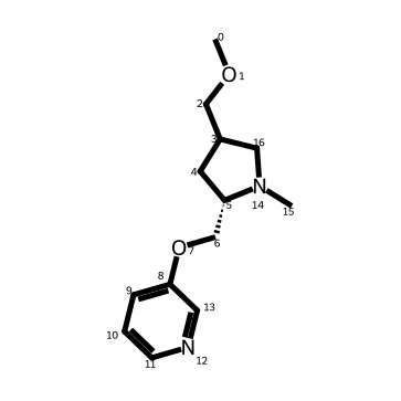 COCC1C[C@@H](COc2cccnc2)N(C)C1